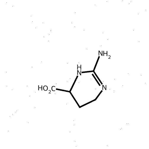 NC1=NCCC(C(=O)O)N1